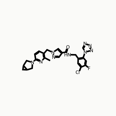 Cc1nc(N2CC3CC3C2)ccc1Cn1cc(C(=O)NCc2cc(Cl)c(F)cc2-n2cnnn2)cn1